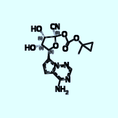 CC1(OC(=O)O[C@@]2(C#N)O[C@@H](c3ccc4c(N)ncnn34)[C@H](O)[C@@H]2O)CC1